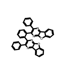 c1ccc(-c2nc3c(nc2-c2ccccc2-c2nc4oc5ccccc5c4nc2-c2ccccc2)oc2ccccc23)cc1